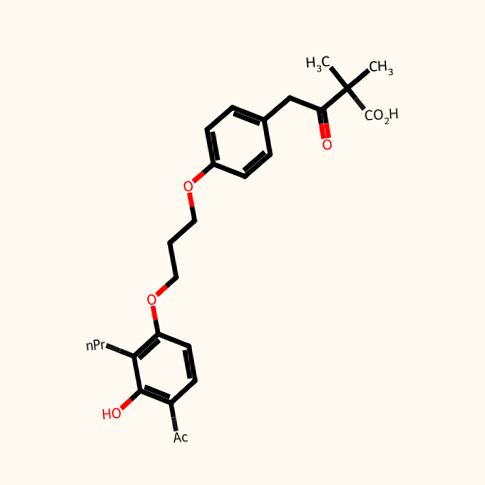 CCCc1c(OCCCOc2ccc(CC(=O)C(C)(C)C(=O)O)cc2)ccc(C(C)=O)c1O